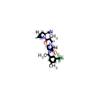 Cc1cc([C@@H](C)N2C(=O)[C@@H]3CC2CN3C[C@H](C)C(=O)N2C3C[C@H]3C[C@H]2C#N)cc(C(F)(F)F)c1